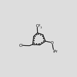 CC(C)Oc1cc(CCl)cc(C(F)(F)F)c1